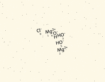 [Cl-].[Mg+2].[Mg+2].[OH-].[OH-].[OH-]